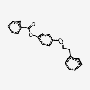 O=C(Oc1ccc(OCCc2ccccc2)cc1)c1ccccc1